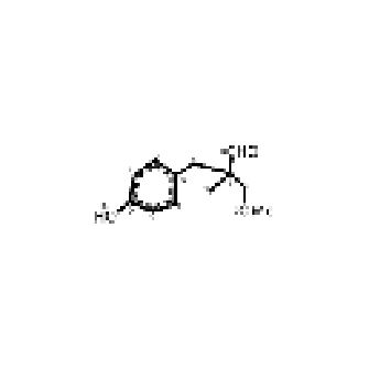 COC[C@@](C)(C=O)Cc1ccc(O)cc1